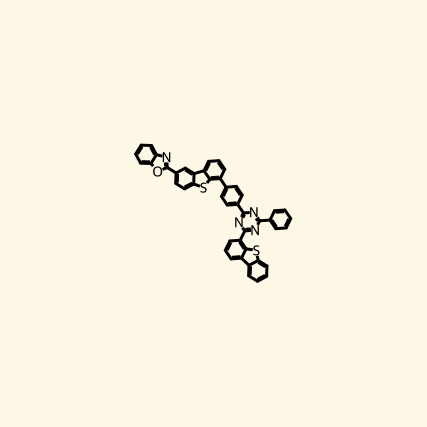 c1ccc(-c2nc(-c3ccc(-c4cccc5c4sc4ccc(-c6nc7ccccc7o6)cc45)cc3)nc(-c3cccc4c3sc3ccccc34)n2)cc1